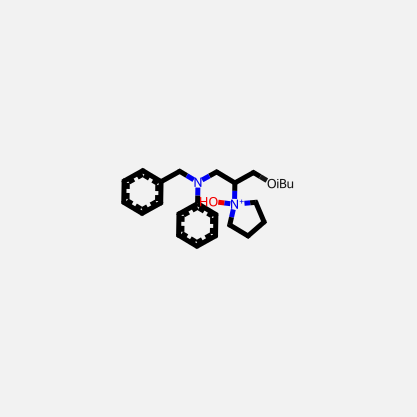 CC(C)COCC(CN(Cc1ccccc1)c1ccccc1)[N+]1(O)CCCC1